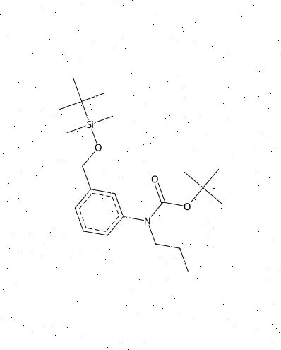 CCCN(C(=O)OC(C)(C)C)c1cccc(CO[Si](C)(C)C(C)(C)C)c1